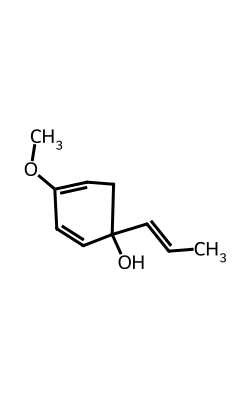 CC=CC1(O)C=CC(OC)=CC1